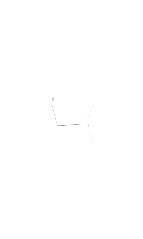 C[Si](C)CBr